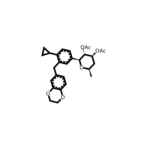 CC(=O)O[C@@H]1[C@@H](OC(C)=O)C[C@@H](C)O[C@H]1c1ccc(C2CC2)c(Cc2ccc3c(c2)OCCO3)c1